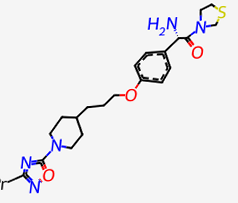 CC(C)c1noc(N2CCC(CCCOc3ccc([C@H](N)C(=O)N4CCSC4)cc3)CC2)n1